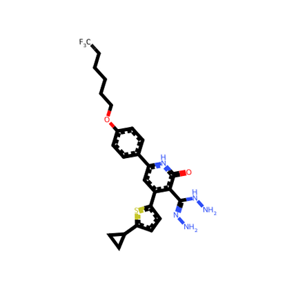 N/N=C(\NN)c1c(-c2ccc(C3CC3)s2)cc(-c2ccc(OCCCCCC(F)(F)F)cc2)[nH]c1=O